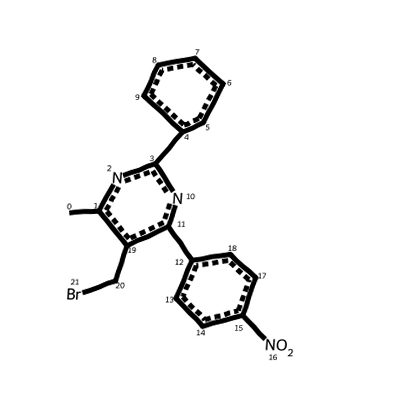 Cc1nc(-c2ccccc2)nc(-c2ccc([N+](=O)[O-])cc2)c1CBr